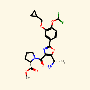 CC(C)OC(=O)[C@@H]1CCCN1C(=O)c1nc(-c2ccc(OC(F)F)c(OCC3CC3)c2)oc1[C@H](C)N